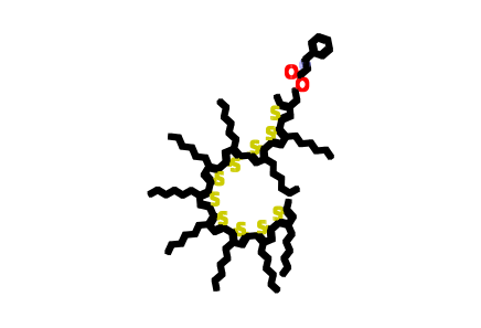 CCCCCCc1cc(C)sc1-c1cc(CCCCCC)c(-c2cc(CCCCCC)c(-c3cc(CCCCCC)c(-c4cc(CCCCCC)c(-c5cc(CCCCCC)c(-c6cc(CCCCCC)c(-c7cc(CCCCCC)c(-c8cc(CCCCCC)c(-c9cc(CCOC(=O)/C=C/c%10ccccc%10)c(C)s9)s8)s7)s6)s5)s4)s3)s2)s1